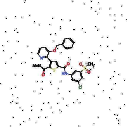 CNC(=O)c1sc(C(=O)Nc2cc(Cl)cc(S(C)(=O)=O)c2)cc1-c1ncccc1OCc1ccccc1